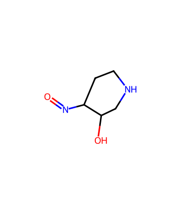 O=NC1CCNCC1O